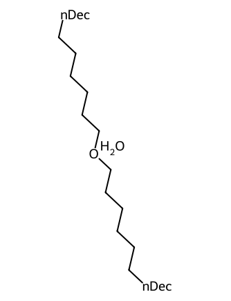 CCCCCCCCCCCCCCCCOCCCCCCCCCCCCCCCC.O